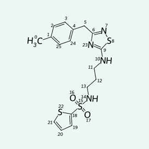 Cc1ccc(Cc2nsc(NCCCNS(=O)(=O)c3cccs3)n2)cc1